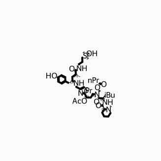 CCCC(=O)OCN(C(=O)[C@H](NC(=O)[C@@H]1CCCCN1C)C(C)CC)[C@@H](C[C@H](OC(C)=O)c1nc(CN[C@H](Cc2ccc(O)cc2)C[C@@H](C)C(=O)NCCC[Si](C)(C)O)cs1)C(C)C